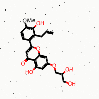 C=CCc1c(-c2cc(=O)c3c(O)cc(OCC(O)CO)cc3o2)ccc(OC)c1O